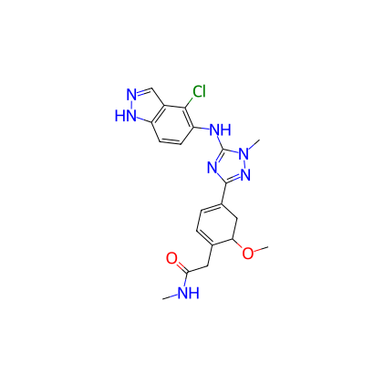 CNC(=O)CC1=CC=C(c2nc(Nc3ccc4[nH]ncc4c3Cl)n(C)n2)CC1OC